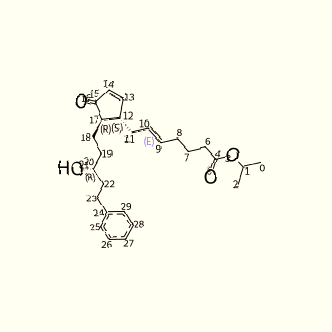 CC(C)OC(=O)CCC/C=C/C[C@H]1C=CC(=O)[C@@H]1CC[C@@H](O)CCc1ccccc1